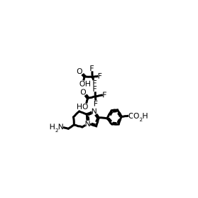 NCC1CCc2nc(-c3ccc(C(=O)O)cc3)cn2C1.O=C(O)C(F)(F)F.O=C(O)C(F)(F)F